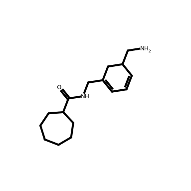 NCC1C=CC=C(CNC(=O)C2CCCCCC2)C1